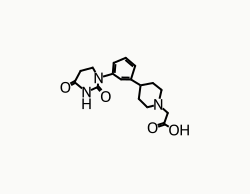 O=C(O)CN1CCC(c2cccc(N3CCC(=O)NC3=O)c2)CC1